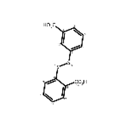 O=C(O)c1cccc(SSc2ccccc2C(=O)O)c1